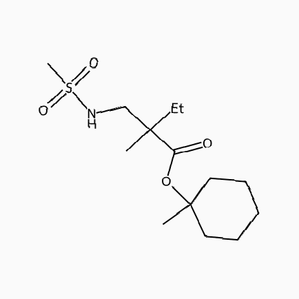 CCC(C)(CNS(C)(=O)=O)C(=O)OC1(C)CCCCC1